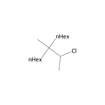 CCCCCCC(C)(CCCCCC)C(C)Cl